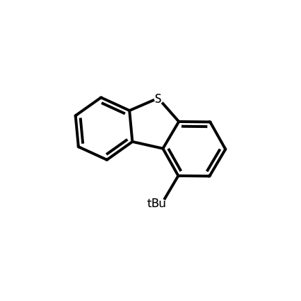 CC(C)(C)c1cccc2sc3ccccc3c12